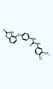 O=C1Cc2nccc(Sc3ccc(NC(=O)Nc4ccc(Cl)c(C(F)(F)F)c4)cc3)c2N1